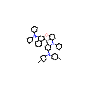 Cc1ccc(N(c2ccc(C)cc2)c2ccc3c(c2)N(c2ccccc2)c2cccc4c2B3c2c(cc(N(c3ccccc3)c3ccccc3)c3ccccc23)O4)cc1